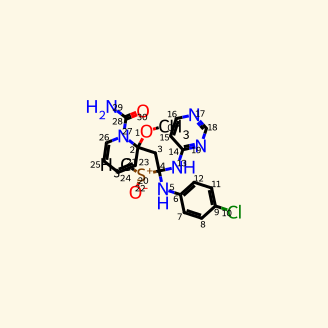 COC1(CC(Nc2ccc(Cl)cc2)(Nc2ccncn2)[S+](C)[O-])C=CC=CN1C(N)=O